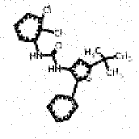 CC(C)(C)c1cc(NC(=O)Nc2cccc(Cl)c2Cl)c(-c2ccccc2)s1